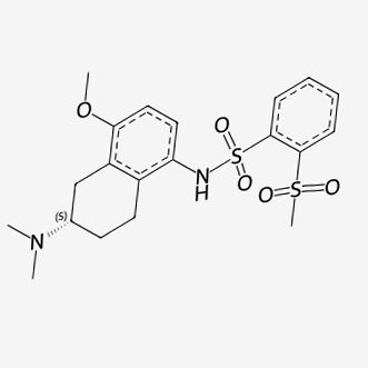 COc1ccc(NS(=O)(=O)c2ccccc2S(C)(=O)=O)c2c1C[C@@H](N(C)C)CC2